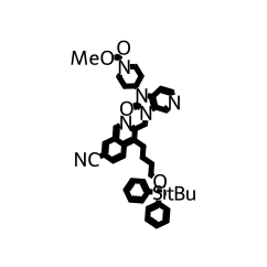 COC(=O)N1CCC(n2c(=O)n(Cc3ncc4cc(C#N)ccc4c3CCCCO[Si](c3ccccc3)(c3ccccc3)C(C)(C)C)c3cnccc32)CC1